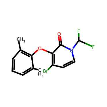 Cc1cccc(C)c1Oc1c(Br)ccn(C(F)F)c1=O